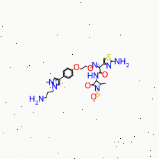 COSN1C(=O)C(NC(=O)/C(=N\OCCOc2ccc(-c3cn(CCCN)[n+](C)c3)cc2)c2csc(N)n2)C1C